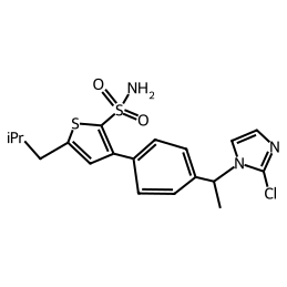 CC(C)Cc1cc(-c2ccc(C(C)n3ccnc3Cl)cc2)c(S(N)(=O)=O)s1